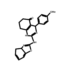 COc1ccc(C2N=C(NC3=NC4CC=CC=C4O3)NC3=C2C(=O)CCC3)cc1